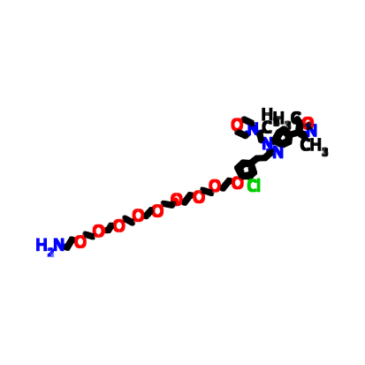 Cc1noc(C)c1-c1ccc2c(c1)nc(CCc1ccc(OCCOCCOCCOCCOCCOCCOCCOCCOCCN)c(Cl)c1)n2C[C@H](C)N1CCOCC1